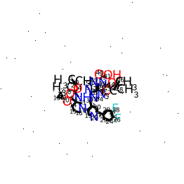 CC(C)(C)OC(=O)NC1(COC2CC2)CCCN(c2cnc(-c3ccc(F)c(F)c3)cc2Cn2cnc3c(N(C(=O)O)C(=O)OC(C)(C)C)ncnc32)C1